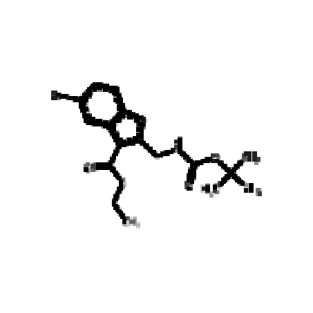 CCOC(=O)c1c(CNC(=O)OC(C)(C)C)sc2ccc(Br)cc12